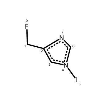 FCc1cn(I)cn1